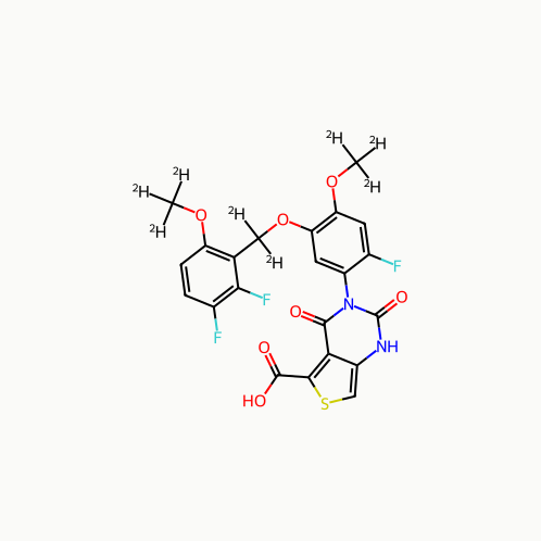 [2H]C([2H])([2H])Oc1cc(F)c(-n2c(=O)[nH]c3csc(C(=O)O)c3c2=O)cc1OC([2H])([2H])c1c(OC([2H])([2H])[2H])ccc(F)c1F